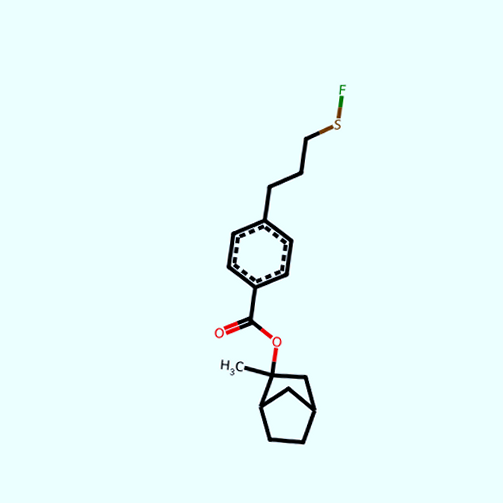 CC1(OC(=O)c2ccc(CCCSF)cc2)CC2CCC1C2